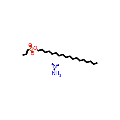 CCCCCCCCCCCCCCCCCCOS(=O)(=O)CCC.CN(C)C.N